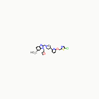 O=C(O)c1ccc2nc(CN3CCC(c4cccc(OCc5ncc(Cl)s5)n4)CC3)n(CC3CCO3)c2c1